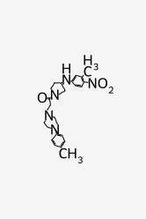 Cc1ccc(N2CCN(CCC(=O)N3CCC(Nc4ccc([N+](=O)[O-])c(C)c4)CC3)CC2)cc1